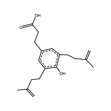 C=C(C)CCc1cc(CCC(=O)O)cc(CCC(=C)C)c1O